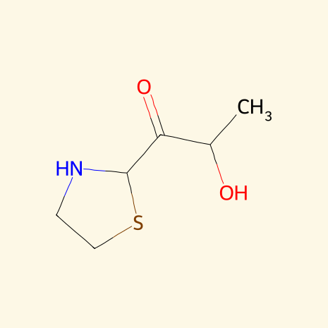 CC(O)C(=O)C1NCCS1